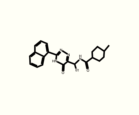 CCC(NC(=O)C1CCC(C)CC1)c1nnc(-c2cccc3ccccc23)[nH]c1=O